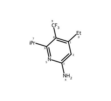 CCc1cc(N)nc(C(C)C)c1C(F)(F)F